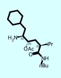 CCCCNC(=O)[C@@H](C[C@H](OC(C)=O)[C@@H](N)CC1CCCCC1)C(C)C